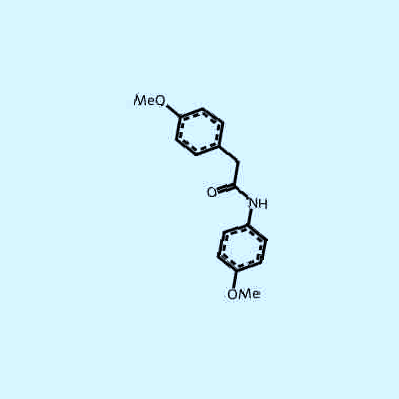 COc1ccc(CC(=O)Nc2ccc(OC)cc2)cc1